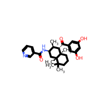 C[C@@H]1[C@H](NC(=O)c2cccnc2)C[C@@]2(C)C(C)(C)CCC[C@]2(C)[C@H]1C(=O)c1cc(O)cc(O)c1